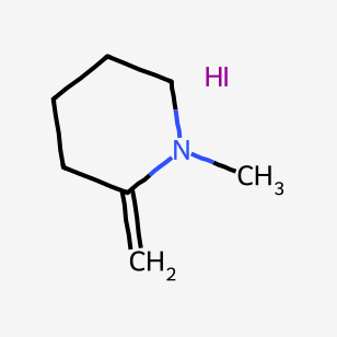 C=C1CCCCN1C.I